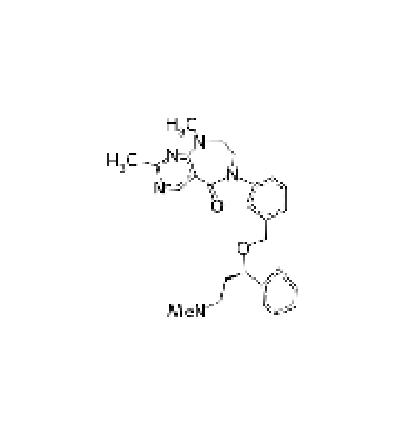 CNCC[C@@H](OCc1cccc(N2CCN(C)c3nc(C)ncc3C2=O)c1)c1ccccc1